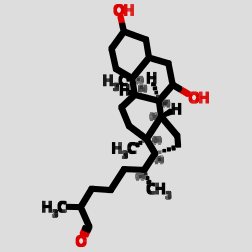 CC(C=O)CCC[C@@H](C)[C@H]1CC[C@H]2[C@@H]3C(O)CC4CC(O)CC[C@]4(C)[C@H]3CC[C@]12C